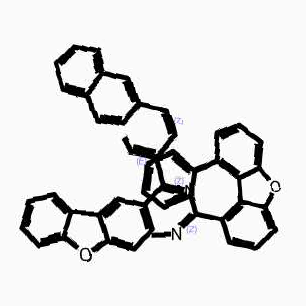 C/C=C(\C=C/c1ccc2ccccc2c1)C(=N/C(=N\C)c1cccc2oc3cccc(-c4ccccc4)c3c12)/c1ccc2oc3ccccc3c2c1